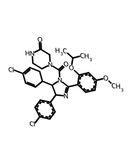 COc1ccc(C2=NC(c3ccc(Cl)cc3)C(C3C=CC(Cl)=CC3)N2C(=O)N2CCNC(=O)C2)c(OC(C)C)c1